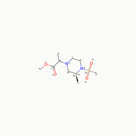 COC(=O)C(C)N1CCN(S(C)(=O)=O)[C@@H](C)C1